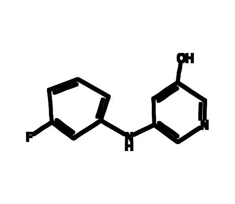 Oc1cncc(Nc2cccc(F)c2)c1